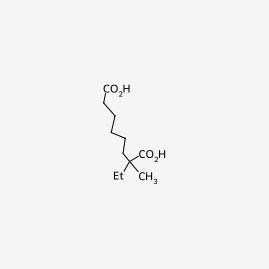 CCC(C)(CCCCCC(=O)O)C(=O)O